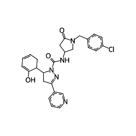 O=C1CC(NC(=O)N2N=C(c3cccnc3)CC2C2CC=CC=C2O)CN1Cc1ccc(Cl)cc1